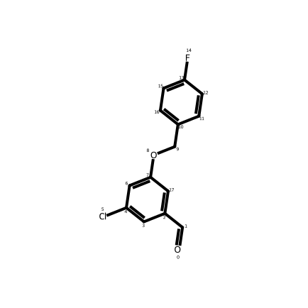 O=Cc1cc(Cl)cc(OCc2ccc(F)cc2)c1